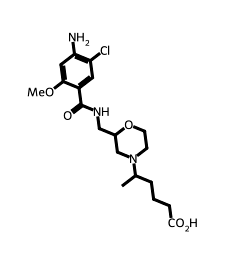 COc1cc(N)c(Cl)cc1C(=O)NCC1CN(C(C)CCCC(=O)O)CCO1